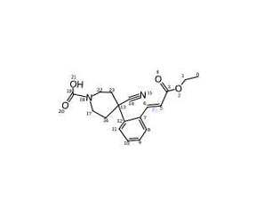 CCOC(=O)/C=C/c1ccccc1C1(C#N)CCN(C(=O)O)CC1